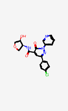 O=C(N[C@H]1COC[C@H]1O)c1cc(-c2ccc(Cl)cc2)nn(-c2cccnc2)c1=O